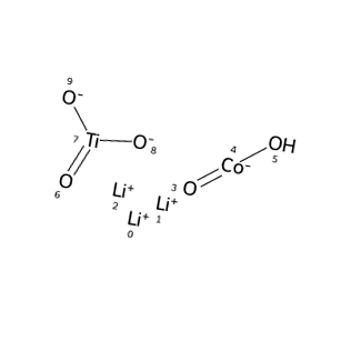 [Li+].[Li+].[Li+].[O]=[Co-][OH].[O]=[Ti]([O-])[O-]